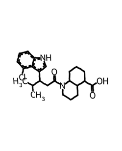 CC(C)C(CC(=O)N1CCCC2C(C(=O)O)CCCC21)c1c[nH]c2cccc(Cl)c12